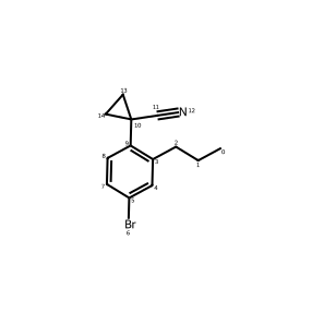 CCCc1cc(Br)ccc1C1(C#N)CC1